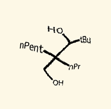 CCCCCC(CO)(CCC)C(O)C(C)(C)C